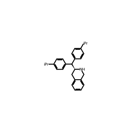 CC(C)c1ccc(C(c2ccc(C(C)C)cc2)[C@@H]2Cc3ccccc3CN2)cc1